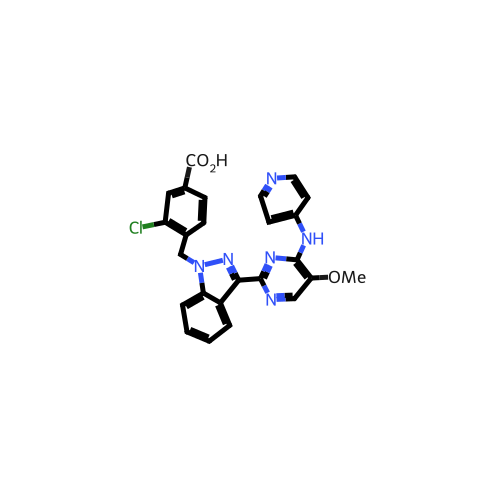 COc1cnc(-c2nn(Cc3ccc(C(=O)O)cc3Cl)c3ccccc23)nc1Nc1ccncc1